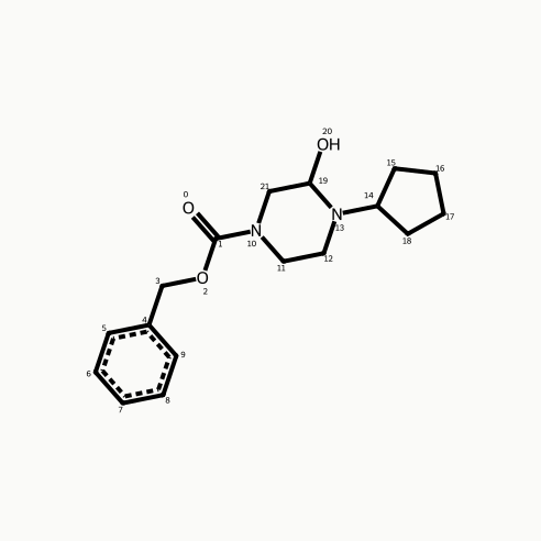 O=C(OCc1ccccc1)N1CCN(C2CCCC2)C(O)C1